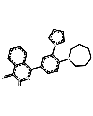 O=c1[nH]nc(-c2ccc(N3CCCCCC3)c(-n3cccc3)c2)c2ccccc12